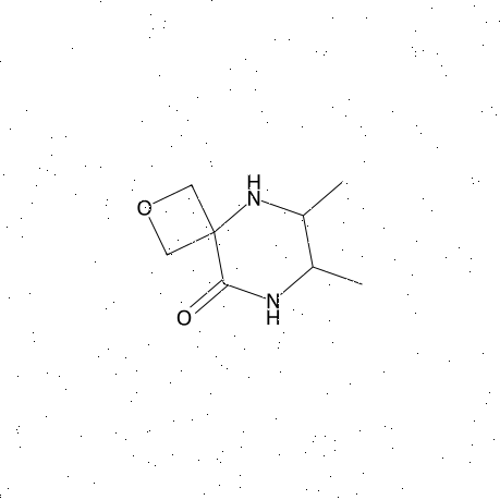 CC1NC(=O)C2(COC2)NC1C